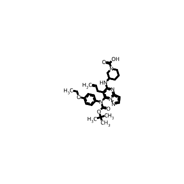 C=CCc1c(NC2CCCN(C(=O)O)C2)nc2ccnn2c1N(C(=O)OC(C)(C)C)c1ccc(OCC)cc1